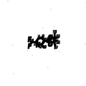 Cc1nc(C(F)F)ccc1B1OC(C)(C)C(C)(C)O1